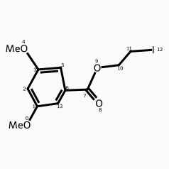 COc1cc(OC)cc(C(=O)OCCI)c1